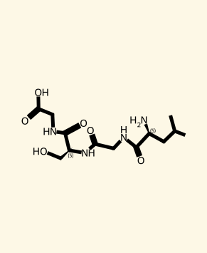 CC(C)C[C@H](N)C(=O)NCC(=O)N[C@@H](CO)C(=O)NCC(=O)O